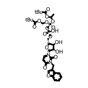 CC(OC(=O)C(C)(C)C)OP(=O)(OCOC(=O)C(C)(C)C)OP(=O)(O)OC[C@H]1O[C@@H](n2ccc(=O)n(Cc3coc4ccccc34)c2=O)[C@@H](O)C1O